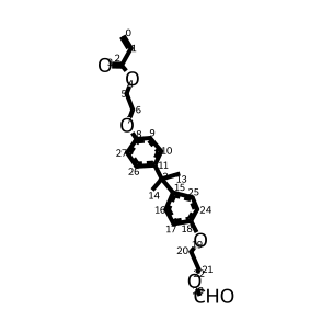 C=CC(=O)OCCOc1ccc(C(C)(C)c2ccc(OCCOC=O)cc2)cc1